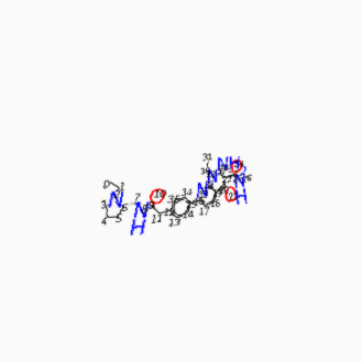 CCN1CCC[C@H]1CNC(=O)Cc1ccc(-c2ccc3c(=O)c(C(=O)NC)c(N)n(CC)c3n2)cc1